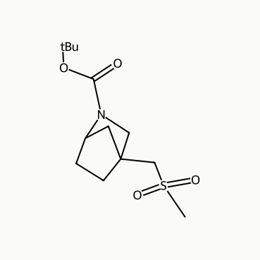 CC(C)(C)OC(=O)N1CC2(CS(C)(=O)=O)CCC1C2